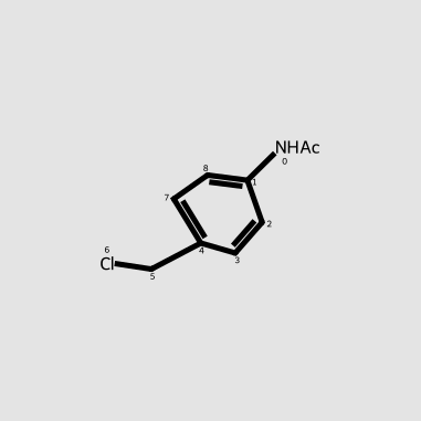 CC(=O)Nc1ccc(CCl)cc1